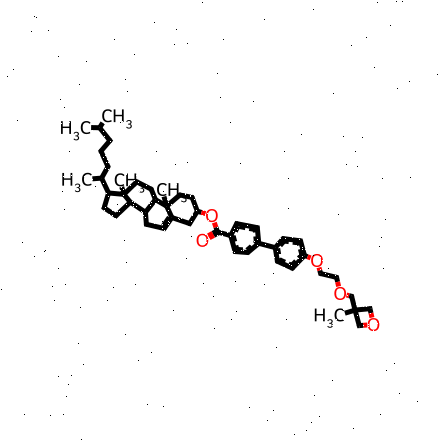 CC(C)CCCC(C)C1CCC2C3CC=C4CC(OC(=O)c5ccc(-c6ccc(OCCOCC7(C)COC7)cc6)cc5)CCC4(C)C3CCC12C